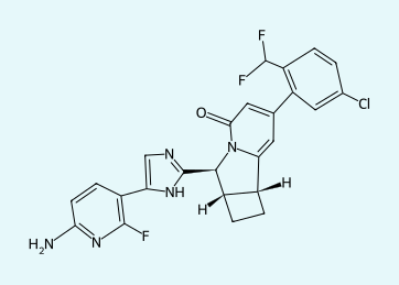 Nc1ccc(-c2cnc([C@@H]3[C@H]4CC[C@H]4c4cc(-c5cc(Cl)ccc5C(F)F)cc(=O)n43)[nH]2)c(F)n1